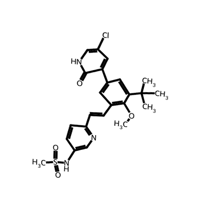 COc1c(C=Cc2ccc(NS(C)(=O)=O)cn2)cc(-c2cc(Cl)c[nH]c2=O)cc1C(C)(C)C